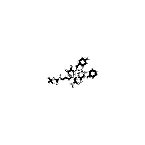 CNC(=O)[C@H](CCCCNC(=O)OC(C)(C)C)NC(=O)[C@@H](Cc1ccccc1)NS(=O)(=O)N(Cc1ccc(F)cc1)NC(=O)[C@H](C)N